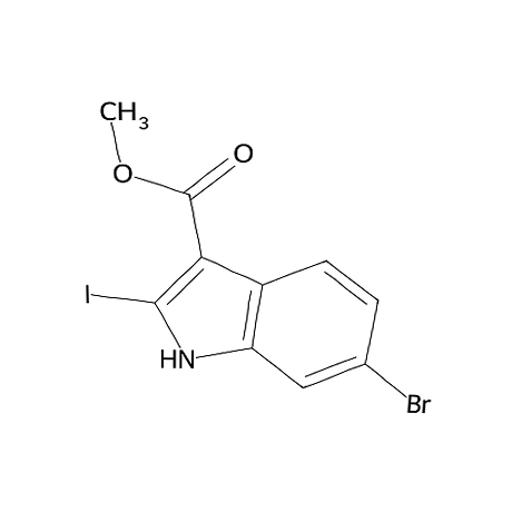 COC(=O)c1c(I)[nH]c2cc(Br)ccc12